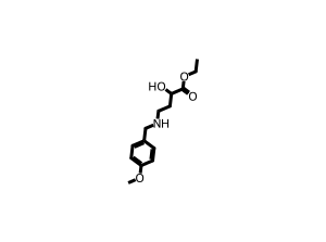 CCOC(=O)C(O)CCNCc1ccc(OC)cc1